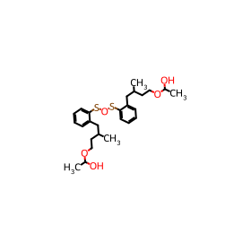 CC(CCOC(C)O)Cc1ccccc1SOSc1ccccc1CC(C)CCOC(C)O